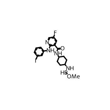 COBNC1CCC(NC(=O)c2cc(F)cnc2Nc2cccc(I)c2)CC1